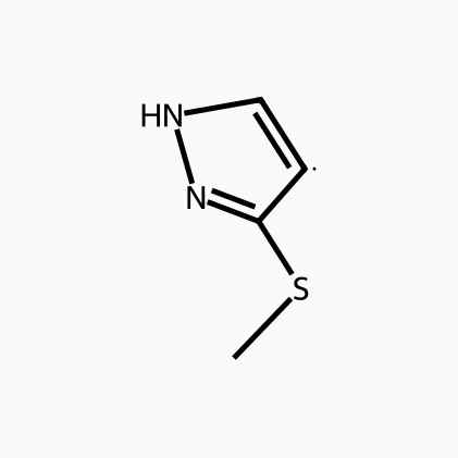 CSc1[c]c[nH]n1